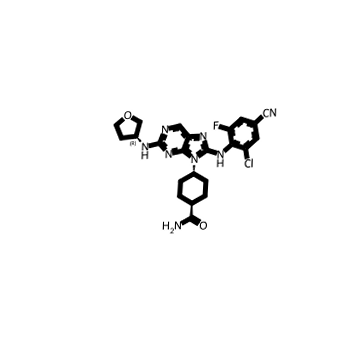 N#Cc1cc(F)c(Nc2nc3cnc(N[C@@H]4CCOC4)nc3n2[C@H]2CC[C@H](C(N)=O)CC2)c(Cl)c1